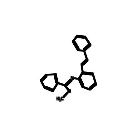 COC(=Nc1ccccc1C=Cc1ccccc1)c1ccccc1